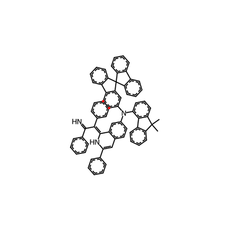 CC1(C)c2ccccc2-c2c(N(c3ccc4c(c3)/C(=C(/C(=N)c3ccccc3)c3ccccc3)NC(c3ccccc3)=C4)c3ccc4c(c3)C3(c5ccccc5-c5ccccc53)c3ccccc3-4)cccc21